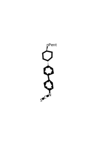 CCCCC[C@H]1CC[C@H](c2ccc(-c3ccc(N=C=S)cc3)cc2)CC1